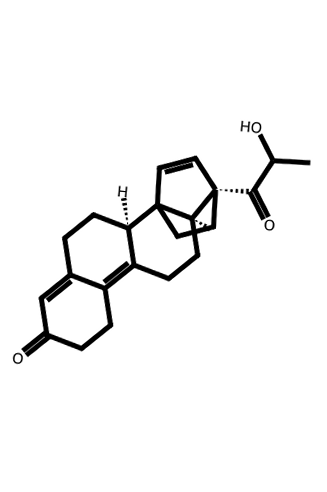 CC(O)C(=O)[C@]12C=CC3(CC1)[C@@H]1CCC4=CC(=O)CCC4=C1CC[C@@]32C